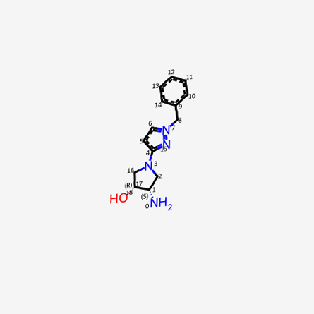 N[C@H]1CN(c2ccn(Cc3ccccc3)n2)C[C@H]1O